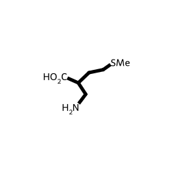 CSCCC(CN)C(=O)O